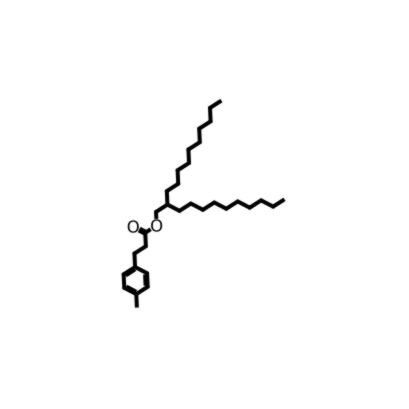 CCCCCCCCCCC(CCCCCCCCCC)COC(=O)CCc1ccc(C)cc1